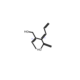 C=C/C=C(C(=C)O)\C(=C/C)CO